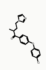 CC(CCn1ccnc1)C(=O)c1ccc(Oc2ccc(Cl)cc2)cc1